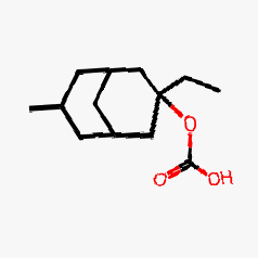 CCC1(OC(=O)O)CC2CC(C)CC(C2)C1